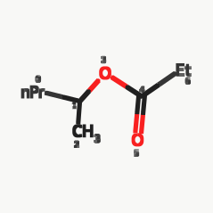 CCCC(C)OC(=O)CC